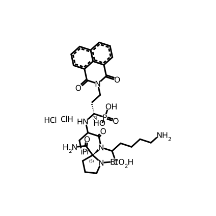 CCN1CCC[C@@]1(C(N)=O)N(C(=O)C(CC(C)C)N[C@H](CCN1C(=O)c2cccc3cccc(c23)C1=O)P(=O)(O)O)C(CCCCN)C(=O)O.Cl.Cl